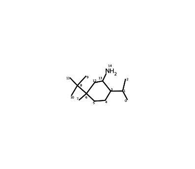 CC(C)C1CCC(C)(C(C)(C)C)CC1N